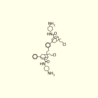 CC1(CCCl)C2CC3(C(=O)N[C@H]4CC[C@H](N)CC4)CC1CC(c1cccc(CCC4(CCCl)C5CC6(C(=O)N[C@H]7CC[C@H](N)CC7)CC4CC(c4ccccc4)(C5)C6)c1)(C2)C3